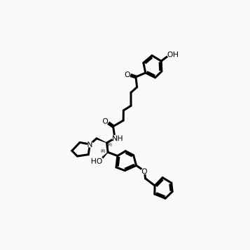 O=C(CCCCCC(=O)c1ccc(O)cc1)N[C@H](CN1CCCC1)[C@H](O)c1ccc(OCc2ccccc2)cc1